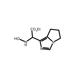 CCOC(=O)C(NO)c1ncn2c1CCC2